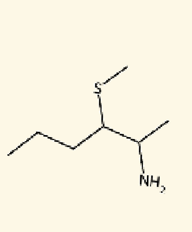 CCCC(SC)C(C)N